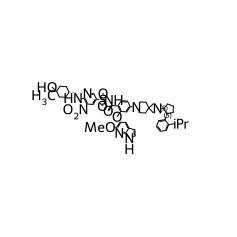 COc1nc2[nH]ccc2cc1Oc1cc(N2CCC3(CC2)CN([C@H]2CCC[C@H]2c2ccccc2C(C)C)C3)ccc1C(=O)NS(=O)(=O)c1cnc(NC[C@H]2CC[C@](C)(O)CC2)c([N+](=O)[O-])c1